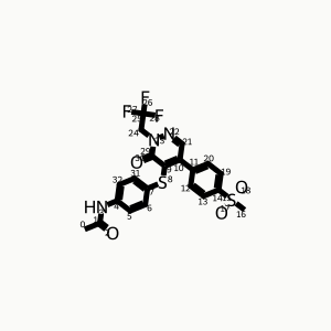 CC(=O)Nc1ccc(Sc2c(-c3ccc(S(C)(=O)=O)cc3)cnn(CC(F)(F)F)c2=O)cc1